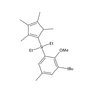 CC[Si](CC)(C1=C(C)C(C)=C(C)C1C)c1cc(C)cc(C(C)(C)C)c1OC